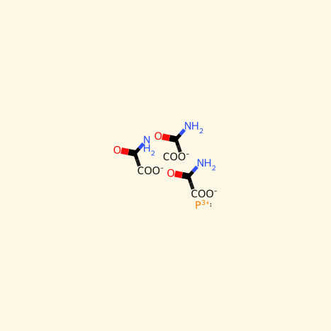 NC(=O)C(=O)[O-].NC(=O)C(=O)[O-].NC(=O)C(=O)[O-].[P+3]